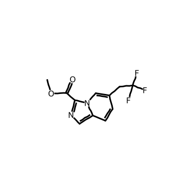 COC(=O)c1ncc2ccc(CC(F)(F)F)cn12